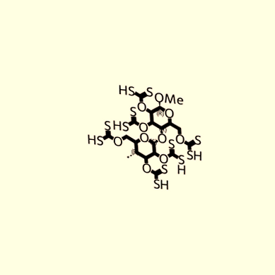 CO[C@@H]1OC(COC(=S)S)[C@@H](O[C@@H]2OC(COC(=S)S)[C@@H](C)C(OC(=S)S)C2OC(=S)S)C(OC(=S)S)C1OC(=S)S